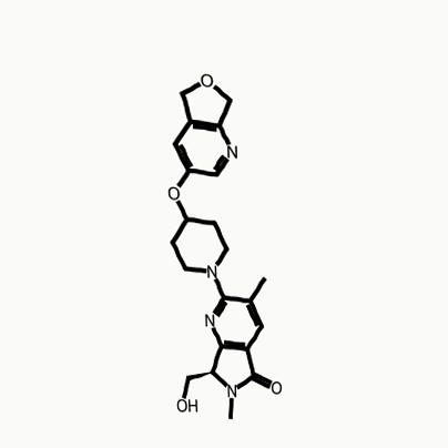 Cc1cc2c(nc1N1CCC(Oc3cnc4c(c3)COC4)CC1)[C@H](CO)N(C)C2=O